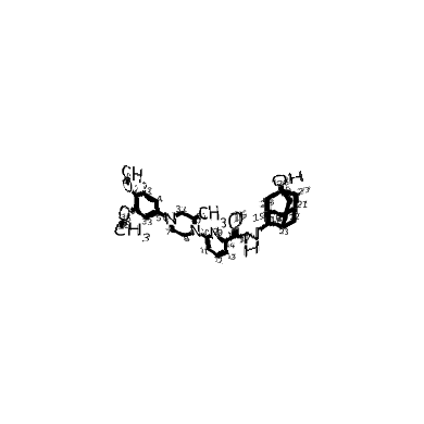 COc1ccc(N2CCN(c3cccc(C(=O)NC4C5CC6CC4CC(O)(C6)C5)n3)C(C)C2)cc1OC